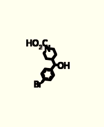 O=C(O)N1CCC(C(O)c2ccc(Br)cc2)CC1